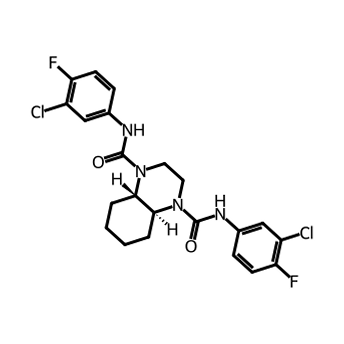 O=C(Nc1ccc(F)c(Cl)c1)N1CCN(C(=O)Nc2ccc(F)c(Cl)c2)[C@H]2CCCC[C@@H]21